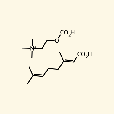 CC(C)=CCC/C(C)=C/C(=O)O.C[N+](C)(C)CCOC(=O)O